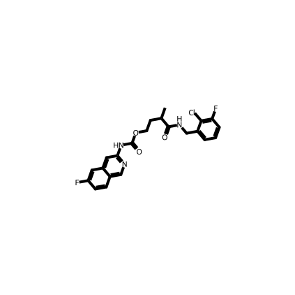 CC(CCOC(=O)Nc1cc2cc(F)ccc2cn1)C(=O)NCc1cccc(F)c1Cl